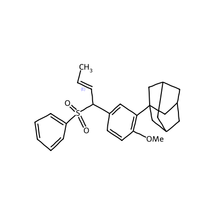 C/C=C/C(c1ccc(OC)c(C23CC4CC(CC(C4)C2)C3)c1)S(=O)(=O)c1ccccc1